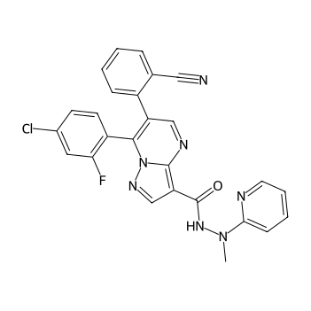 CN(NC(=O)c1cnn2c(-c3ccc(Cl)cc3F)c(-c3ccccc3C#N)cnc12)c1ccccn1